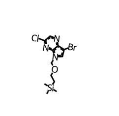 C[Si](C)(C)CCOCn1cc(Br)c2ncc(Cl)nc21